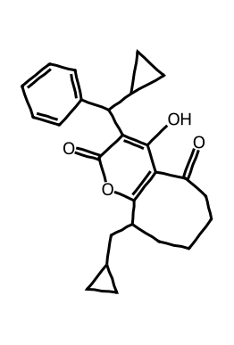 O=C1CCCCC(CC2CC2)c2oc(=O)c(C(c3ccccc3)C3CC3)c(O)c21